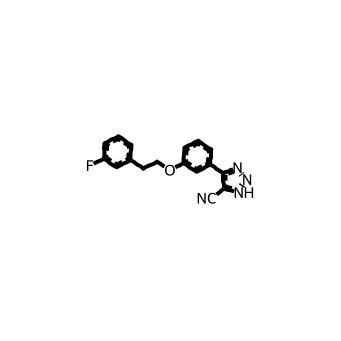 N#Cc1[nH]nnc1-c1cccc(OCCc2cccc(F)c2)c1